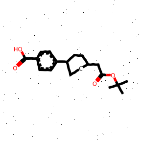 CC(C)(C)OC(=O)CC1CCC(c2ccc(C(=O)O)cc2)CC1